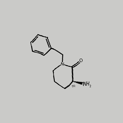 N[C@H]1CCCN(Cc2ccccc2)C1=O